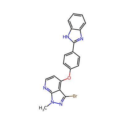 Cn1nc(Br)c2c(Oc3ccc(-c4nc5ccccc5[nH]4)cc3)ccnc21